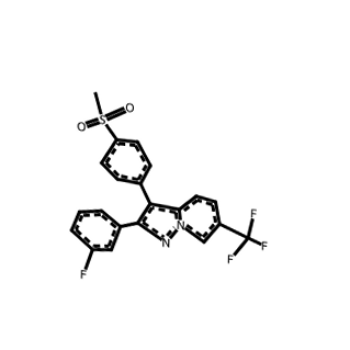 CS(=O)(=O)c1ccc(-c2c(-c3cccc(F)c3)nn3cc(C(F)(F)F)ccc23)cc1